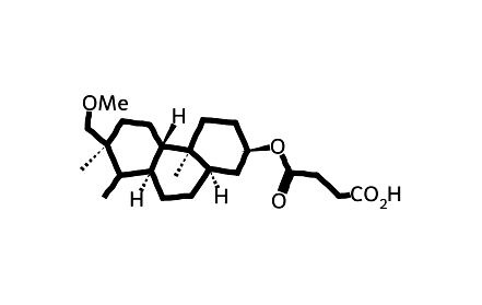 COC[C@@]1(C)CC[C@H]2[C@@H](CC[C@@H]3C[C@H](OC(=O)CCC(=O)O)CC[C@@]32C)C1C